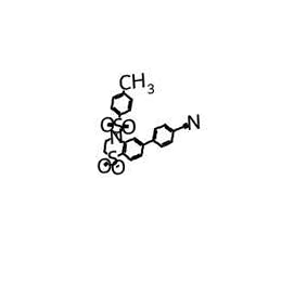 Cc1ccc(S(=O)(=O)N2CCS(=O)(=O)c3ccc(-c4ccc(C#N)cc4)cc32)cc1